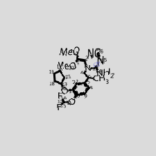 COC(CN(CC(C)c1ccc(OC(F)F)c(OC2CCCC2)c1)/C(N)=N\C#N)OC